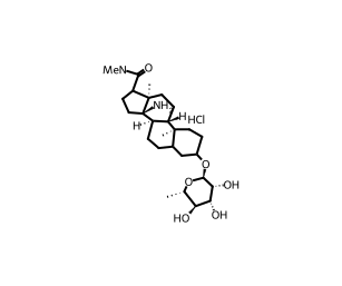 CNC(=O)C1CC[C@@]2(N)[C@@H]3CCC4CC(O[C@@H]5O[C@@H](C)[C@H](O)[C@@H](O)[C@H]5O)CC[C@]4(C)[C@H]3CC[C@]12C.Cl